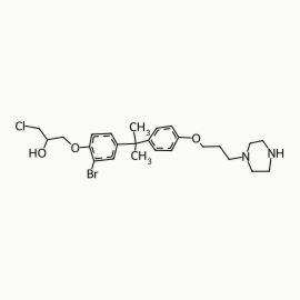 CC(C)(c1ccc(OCCCN2CCNCC2)cc1)c1ccc(OCC(O)CCl)c(Br)c1